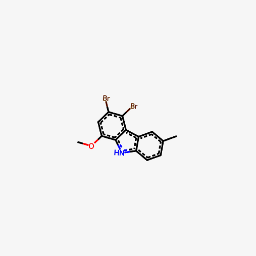 COc1cc(Br)c(Br)c2c1[nH]c1ccc(C)cc12